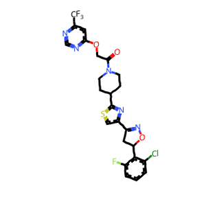 O=C(COc1cc(C(F)(F)F)ncn1)N1CCC(c2nc(C3=NOC(c4c(F)cccc4Cl)C3)cs2)CC1